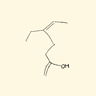 C=C(O)CC/C(=C\C)CC